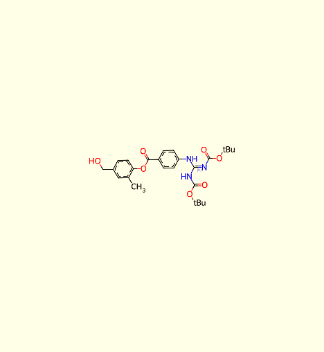 Cc1cc(CO)ccc1OC(=O)c1ccc(N/C(=N\C(=O)OC(C)(C)C)NC(=O)OC(C)(C)C)cc1